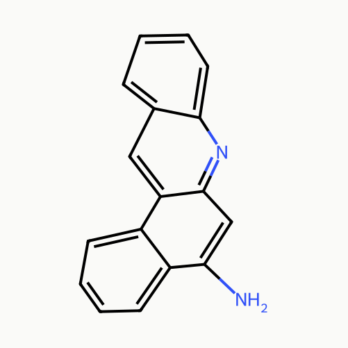 Nc1cc2nc3ccccc3cc2c2ccccc12